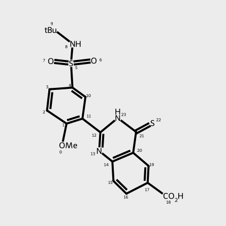 COc1ccc(S(=O)(=O)NC(C)(C)C)cc1-c1nc2ccc(C(=O)O)cc2c(=S)[nH]1